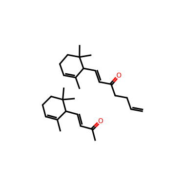 C=CCCC(=O)/C=C/C1C(C)=CCCC1(C)C.CC(=O)/C=C/C1C(C)=CCCC1(C)C